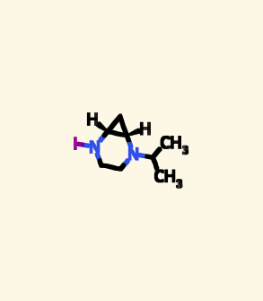 CC(C)N1CCN(I)[C@@H]2C[C@@H]21